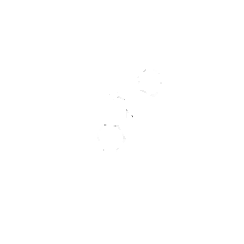 CCc1cc2c(cc1C)N(C(=O)c1ccccc1C)CC2